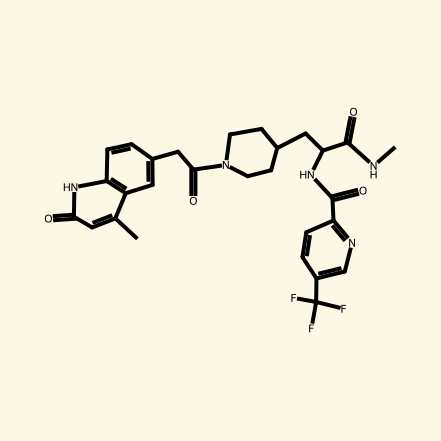 CNC(=O)C(CC1CCN(C(=O)Cc2ccc3[nH]c(=O)cc(C)c3c2)CC1)NC(=O)c1ccc(C(F)(F)F)cn1